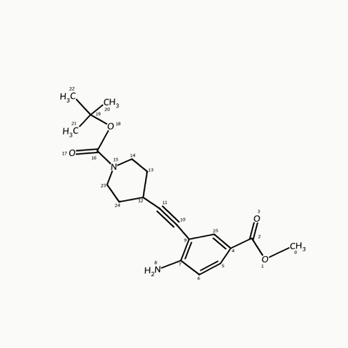 COC(=O)c1ccc(N)c(C#CC2CCN(C(=O)OC(C)(C)C)CC2)c1